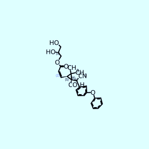 CC1(C)[C@H](/C=C\C(=O)OC[C@@H](O)CO)[C@@]1(C(=O)O)[C@@H](C#N)c1cccc(Oc2ccccc2)c1